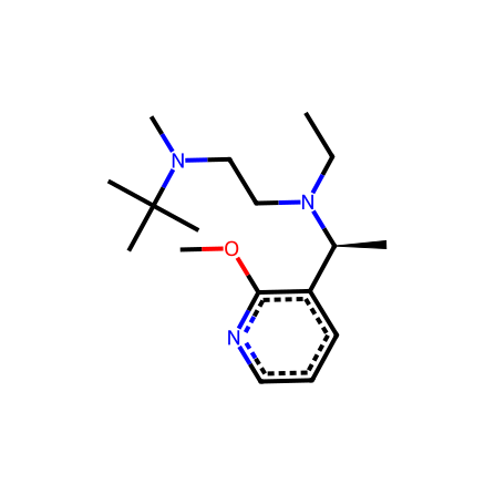 CCN(CCN(C)C(C)(C)C)[C@@H](C)c1cccnc1OC